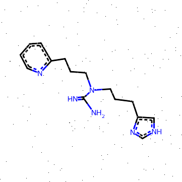 N=C(N)N(CCCc1ccccn1)CCCc1c[nH]cn1